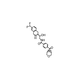 O=C(NCC(O)[C@@H]1Cc2ccc(C(F)F)cc2CN1)c1ccc(C(=O)N2C3CCC2COC3)cc1